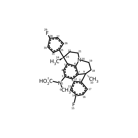 CN(C(=O)O)c1cc2c3c(c1)[C@](C)(c1ccc(F)cc1)CCN3CC[C@@]2(C)c1ccc(F)cc1